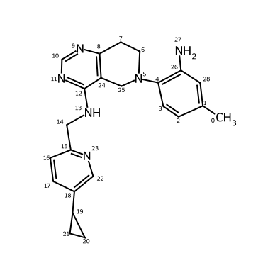 Cc1ccc(N2CCc3ncnc(NCc4ccc(C5CC5)cn4)c3C2)c(N)c1